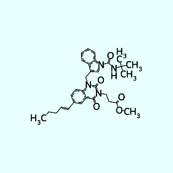 CCCC=Cc1ccc2c(c1)c(=O)n(CCC(=O)OC)c(=O)n2Cc1cn(C(=O)NC(C)(C)C)c2ccccc12